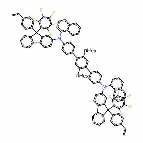 C=Cc1ccc(C2(c3c(F)c(F)c(F)c(F)c3F)c3ccccc3-c3ccc(N(c4ccc(-c5cc(CCCCCC)c(-c6ccc(N(c7ccc8c(c7)C(c7ccc(C=C)cc7)(c7c(F)c(F)c(F)c(F)c7F)c7ccccc7-8)c7cccc8ccccc78)cc6)cc5CCCCCC)cc4)c4cccc5ccccc45)cc32)cc1